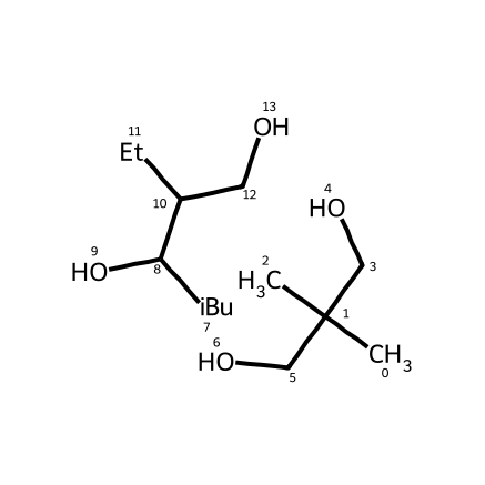 CC(C)(CO)CO.CCC(C)C(O)C(CC)CO